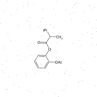 CC(=O)Oc1ccccc1OC(=O)C(C)C(C)C